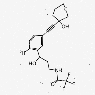 [2H]c1ccc(C#CC2(O)CCCCC2)cc1C(O)CCNC(=O)C(F)(F)F